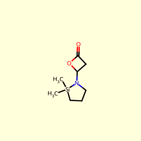 C[Si]1(C)CCCN1C1CC(=O)O1